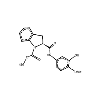 COc1ccc(NC(=O)[C@@H]2Cc3ccccc3N2C(=O)OC(C)(C)C)cc1O